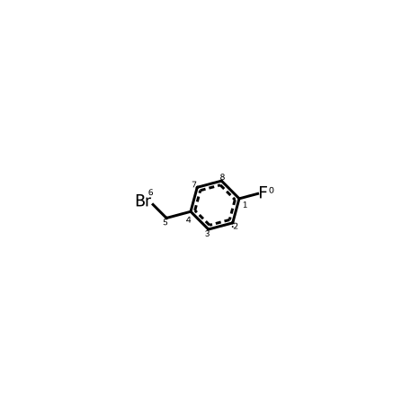 Fc1[c]cc(CBr)cc1